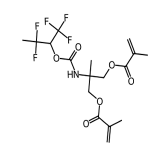 C=C(C)C(=O)OCC(C)(COC(=O)C(=C)C)NC(=O)OC(C(C)(F)F)C(F)(F)F